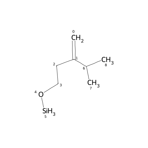 C=C(CCO[SiH3])C(C)C